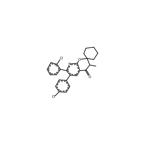 CC1C(=O)c2cc(-c3ccc(Cl)cc3)c(-c3ccccc3Cl)nc2OC12CCCCC2